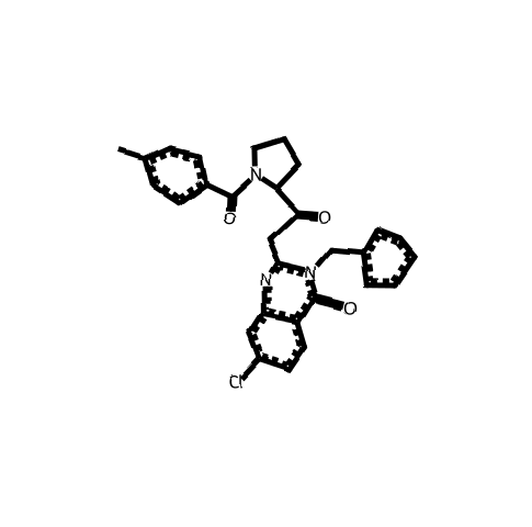 Cc1ccc(C(=O)N2CCCC2C(=O)Cc2nc3cc(Cl)ccc3c(=O)n2Cc2ccccc2)cc1